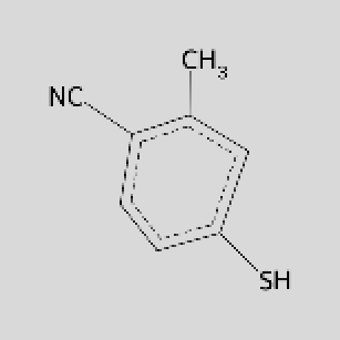 Cc1cc(S)ccc1C#N